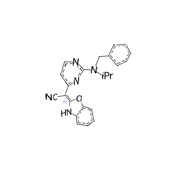 CC(C)N(Cc1ccccc1)c1nccc(/C(C#N)=C2/Nc3ccccc3O2)n1